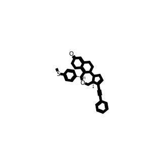 CSc1ccc([C@H]2OC[C@]3(C)C(C#Cc4ccccc4)=CCC3C3CCC4=CC(=O)CCC4=C32)cc1